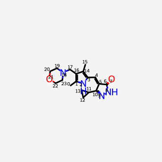 Cc1[nH]c(/C=C2/C(=O)NN=C2C2CC2)c(C)c1CN1CCOCC1